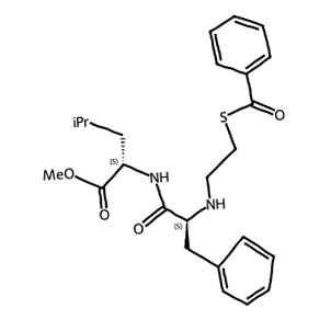 COC(=O)[C@H](CC(C)C)NC(=O)[C@H](Cc1ccccc1)NCCSC(=O)c1ccccc1